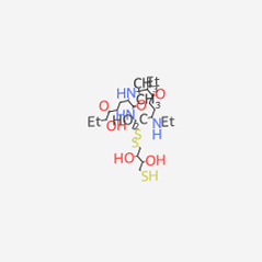 CCNC(CCC(=O)C(CC)C(C)(C)NC(CCC(=O)C(O)CC)C(=O)NCCSSCC(O)C(O)CS)C(=O)O